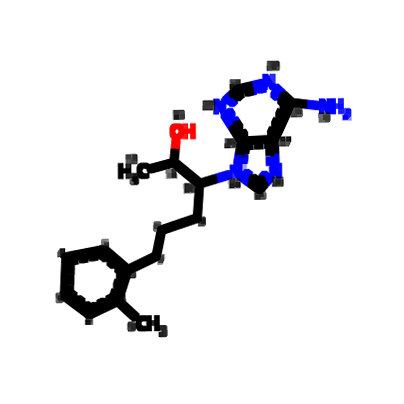 Cc1ccccc1CCCC(C(C)O)n1cnc2c(N)ncnc21